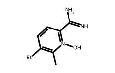 CCc1ccc(C(=N)N)[n+](O)c1C